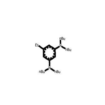 [CH2]Cc1cc(N(CCCC)CCCC)cc(N(CCCC)CCCC)c1